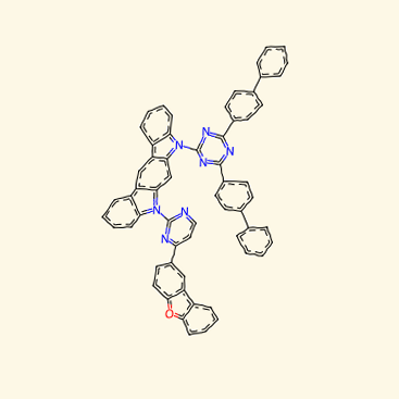 c1ccc(-c2ccc(-c3nc(-c4ccc(-c5ccccc5)cc4)nc(-n4c5ccccc5c5cc6c7ccccc7n(-c7nccc(-c8ccc9oc%10ccccc%10c9c8)n7)c6cc54)n3)cc2)cc1